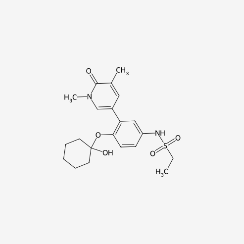 CCS(=O)(=O)Nc1ccc(OC2(O)CCCCC2)c(-c2cc(C)c(=O)n(C)c2)c1